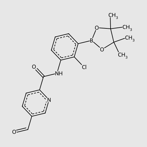 CC1(C)OB(c2cccc(NC(=O)c3ccc(C=O)cn3)c2Cl)OC1(C)C